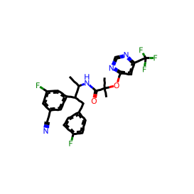 CC(NC(=O)C(C)(C)Oc1cc(C(F)(F)F)ncn1)C(Cc1ccc(F)cc1)c1cc(F)cc(C#N)c1